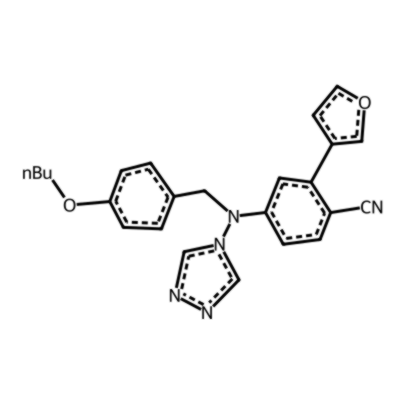 CCCCOc1ccc(CN(c2ccc(C#N)c(-c3ccoc3)c2)n2cnnc2)cc1